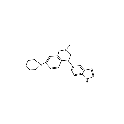 CN1Cc2cc(N3CCCCC3)ccc2C(c2ccc3[nH]ccc3c2)C1